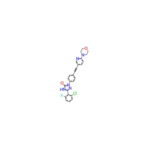 O=c1[nH]c(-c2c(F)cccc2Cl)nn1-c1ccc(C#Cc2ccc(N3CCOCC3)nc2)cc1